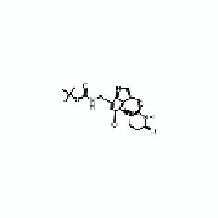 CC(C)(C)OC(=O)NCC1=CC(=O)C(C2CCC(=O)NC2=O)C23C=CC=CC2=CN=C13